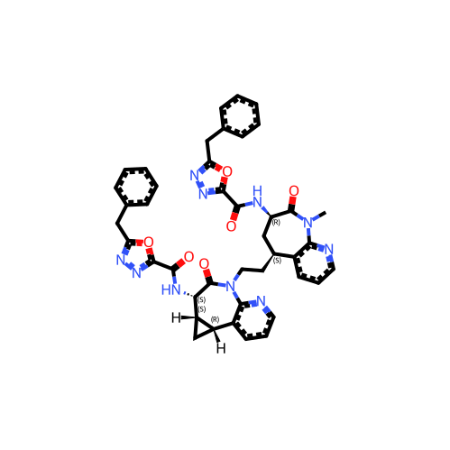 CN1C(=O)[C@H](NC(=O)c2nnc(Cc3ccccc3)o2)C[C@H](CCN2C(=O)[C@@H](NC(=O)c3nnc(Cc4ccccc4)o3)[C@H]3C[C@H]3c3cccnc32)c2cccnc21